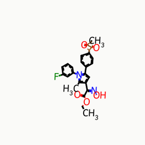 CCOC(=O)C(=NO)c1cc(-c2ccc(S(C)(=O)=O)cc2)n(-c2cccc(F)c2)c1C